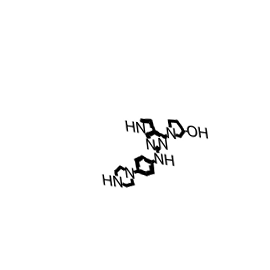 O[C@H]1CCN(c2nc(Nc3ccc(N4CCNCC4)cc3)nc3[nH]ccc23)C1